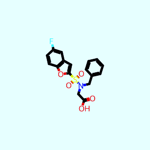 O=C(O)CN(Cc1ccccc1)S(=O)(=O)c1cc2cc(F)ccc2o1